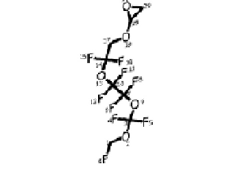 FCOC(F)(F)OC(F)(F)C(F)(F)OC(F)(F)COC1CO1